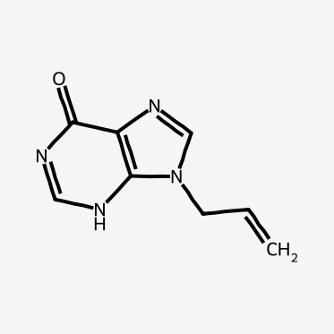 C=CCn1cnc2c(=O)nc[nH]c21